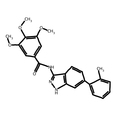 COc1cc(C(=O)Nc2n[nH]c3cc(-c4ccccc4C)ccc23)cc(OC)c1OC